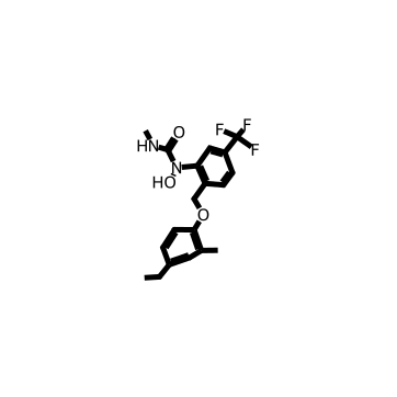 CCc1ccc(OCc2ccc(C(F)(F)F)cc2N(O)C(=O)NC)c(C)c1